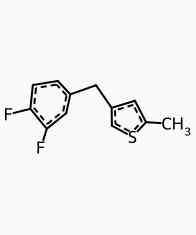 Cc1cc(Cc2ccc(F)c(F)c2)cs1